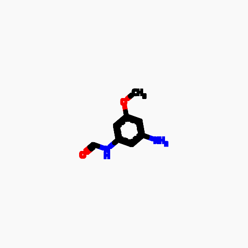 COc1cc(N)cc(NC=O)c1